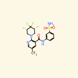 C[C@@H]1CN(c2ncc(C(F)(F)F)cc2C(=O)Nc2cccc(S(N)(=O)=O)c2)C[C@H](C)C1(F)F